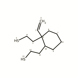 C=CC1(CCS)CCCCC1CCS